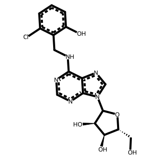 OC[C@H]1OC(n2cnc3c(NCc4c(O)cccc4Cl)ncnc32)[C@H](O)[C@@H]1O